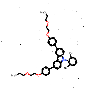 COCCOCCOc1ccc(-c2ccc3c(c2)c2cc(-c4ccc(OCCOCCOC)cc4)ccc2n3-c2c(C#N)cccc2C#N)cc1